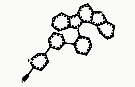 N#Cc1ccc(-c2cccc(-c3ccccc3-n3c4ccccc4c4ccc5oc6ccccc6c5c43)c2)cn1